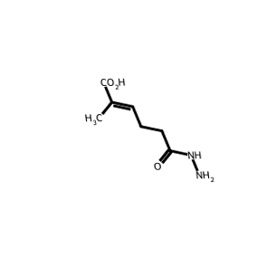 CC(=CCCC(=O)NN)C(=O)O